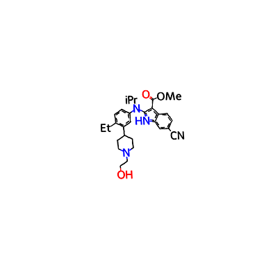 CCc1ccc(N(c2[nH]c3cc(C#N)ccc3c2C(=O)OC)C(C)C)cc1C1CCN(CCO)CC1